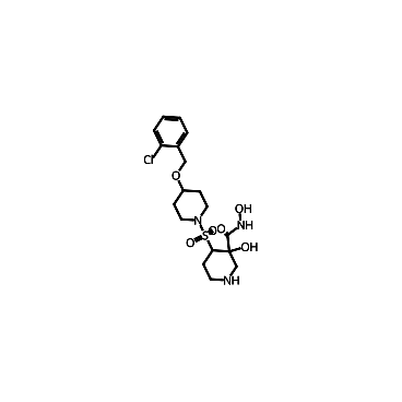 O=C(NO)C1(O)CNCCC1S(=O)(=O)N1CCC(OCc2ccccc2Cl)CC1